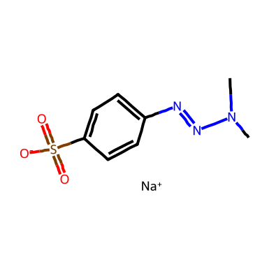 CN(C)N=Nc1ccc(S(=O)(=O)[O-])cc1.[Na+]